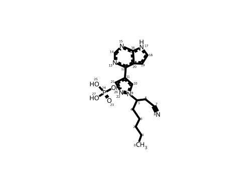 CCCCCC(CC#N)n1cc(-c2ncnc3[nH]ccc23)cn1.O=P(O)(O)O